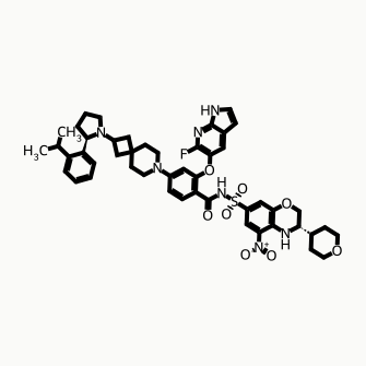 CC(C)c1ccccc1[C@H]1CCCN1C1CC2(CCN(c3ccc(C(=O)NS(=O)(=O)c4cc5c(c([N+](=O)[O-])c4)N[C@@H](C4CCOCC4)CO5)c(Oc4cc5cc[nH]c5nc4F)c3)CC2)C1